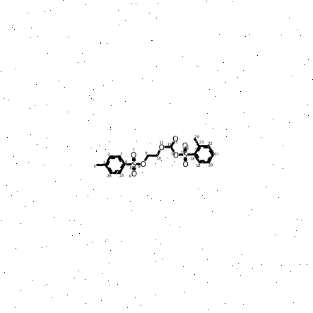 Cc1ccc(S(=O)(=O)OCCOC([O])OS(=O)(=O)c2ccccc2C)cc1